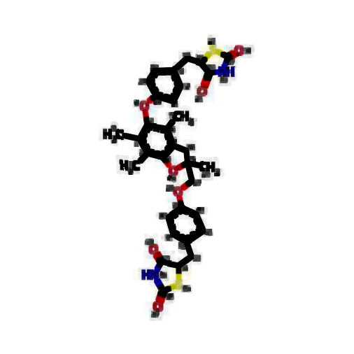 Cc1c(C)c2c(c(C)c1Oc1ccc(CC3SC(=O)NC3=O)cc1)CC(C)(COc1ccc(CC3SC(=O)NC3=O)cc1)O2